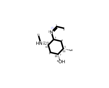 C/C=N\C1C[C@H](C)[C@H](O)C[C@@H]1NC